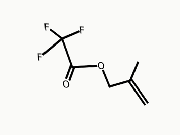 C=C(C)COC(=O)C(F)(F)F